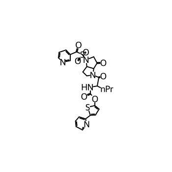 CCCC(NC(=O)Oc1ccc(-c2ccccn2)s1)C(=O)N1CCC2C1C(=O)CN2S(=O)(=O)C(=O)c1cccnc1